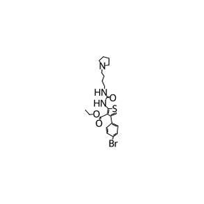 CCOC(=O)c1c(-c2ccc(Br)cc2)csc1NC(=O)NCCCCN1CCCC1